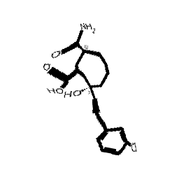 NC(=O)[C@H]1CCC[C@@](O)(C#Cc2cccc(Cl)c2)C1C(=O)O